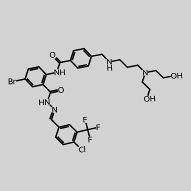 O=C(Nc1ccc(Br)cc1C(=O)N/N=C/c1ccc(Cl)c(C(F)(F)F)c1)c1ccc(CNCCCN(CCO)CCO)cc1